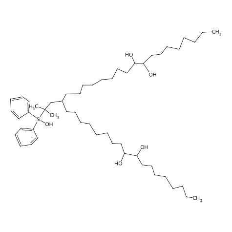 CCCCCCCCC(O)C(O)CCCCCCCCC(CCCCCCCCC(O)C(O)CCCCCCCC)CC(C)(C)[Si](O)(c1ccccc1)c1ccccc1